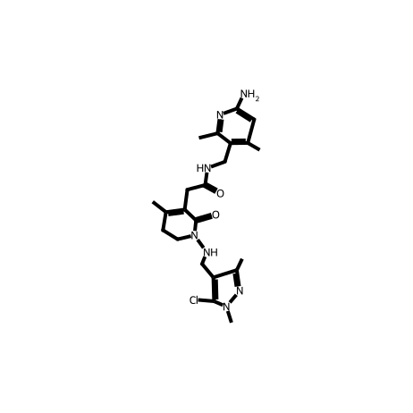 CC1=C(CC(=O)NCc2c(C)cc(N)nc2C)C(=O)N(NCc2c(C)nn(C)c2Cl)CC1